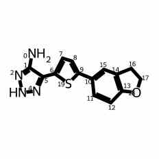 Nc1n[nH]nc1-c1ccc(-c2ccc3c(c2)CCO3)s1